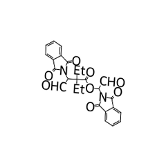 CCC(CC)(C(=O)OC(C=O)N1C(=O)c2ccccc2C1=O)C(C=O)N1C(=O)c2ccccc2C1=O